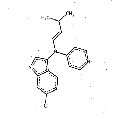 CC(C)C=CN(c1ccncc1)c1csc2cc(Cl)ccc12